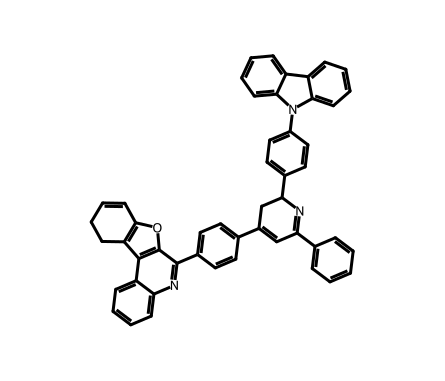 C1=Cc2oc3c(-c4ccc(C5=CC(c6ccccc6)=NC(c6ccc(-n7c8ccccc8c8ccccc87)cc6)C5)cc4)nc4ccccc4c3c2CC1